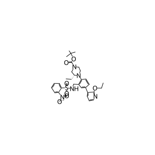 CCOc1ncccc1-c1ccc(N2CCN(C(=O)OC(C)(C)C)C[C@H]2CC)c(CNS(=O)(=O)c2ccccc2[N+](=O)[O-])c1